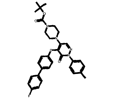 Cc1ccc(-n2ncc(N3CCN(C(=O)OC(C)(C)C)CC3)c(Oc3ccc(-c4ccc(F)cc4)cc3)c2=O)cc1